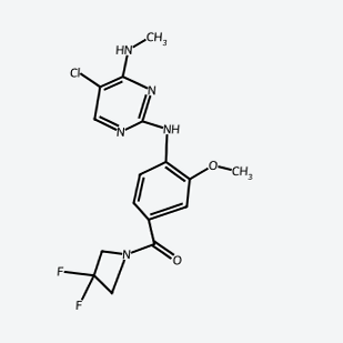 CNc1nc(Nc2ccc(C(=O)N3CC(F)(F)C3)cc2OC)ncc1Cl